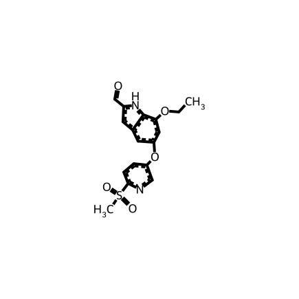 CCOc1cc(Oc2ccc(S(C)(=O)=O)nc2)cc2cc(C=O)[nH]c12